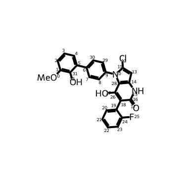 COc1cccc(-c2ccc(-n3c(Cl)cc4[nH]c(=O)c(-c5ccccc5F)c(O)c43)cc2)c1O